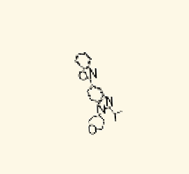 CC(C)c1nc2cc(-c3nc4ccccc4o3)ccc2n1C1CCOCC1